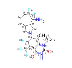 CC1=c2c(c(=O)[nH]c(=O)n2C2CC2)=C(C(F)F)C(F)C1N1CC2CCCC(F)(F)C(N)C2C1